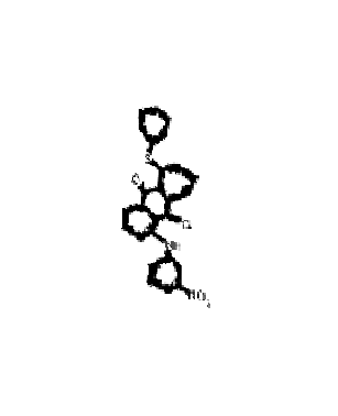 O=C1c2cccc(Sc3ccccc3)c2C(=O)c2cccc(Nc3cccc([N+](=O)[O-])c3)c21